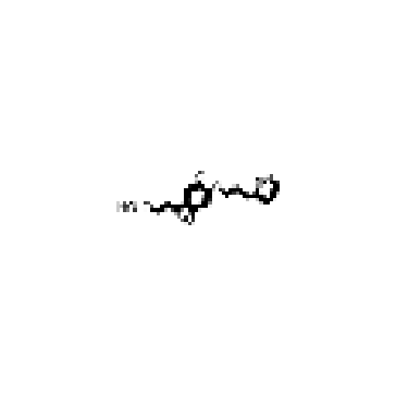 O=C(O)CCc1noc2cc(OCCCc3cccnn3)c(Cl)cc12